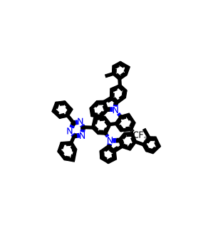 Cc1ccccc1-c1ccc2c(c1)c1ccccc1n2-c1ccc(C(F)(F)F)cc1-c1ccc(-c2nc(-c3ccccc3)nc(-c3ccccc3)n2)cc1-n1c2ccccc2c2cc(-c3ccccc3C)ccc21